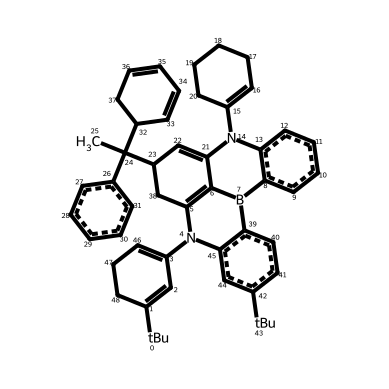 CC(C)(C)C1=CC(N2C3=C4B(c5ccccc5N(C5=CCCCC5)C4=CC(C(C)(c4ccccc4)C4C=CC=CC4)C3)c3ccc(C(C)(C)C)cc32)=CCC1